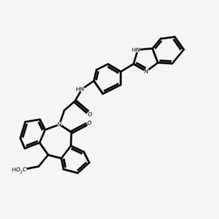 O=C(O)CC1c2ccccc2C(=O)N(CC(=O)Nc2ccc(-c3nc4ccccc4[nH]3)cc2)c2ccccc21